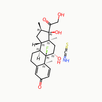 C[C@@H]1C[C@H]2[C@@H]3CCC4=CC(=O)C=C[C@]4(C)[C@@]3(F)[C@@H](O)C[C@]2(C)[C@@]1(O)C(=O)CO.N=C=S